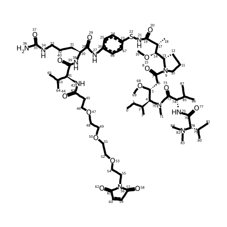 CCC(C)[C@@H]([C@@H](CC(=O)N1CCC[C@H]1[C@H](OC)[C@@H](C)C(=O)NSc1ccc(NC(=O)[C@H](CCCNC(N)=O)NC(=O)[C@@H](NC(=O)CCOCCOCCOCCN2C(=O)C=CC2=O)C(C)C)cc1)OC)N(C)C(=O)[C@@H](NC(=O)[C@H](C(C)C)N(C)C)C(C)C